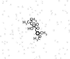 COc1ccc(CC(=O)C2=C(O)C(CC(C)SC)OC2=O)cc1C